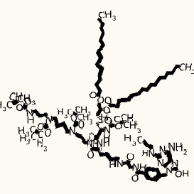 CCCCCCCCCCCCCCCC(=O)OCC(CSC[C@H](NC(=O)OC(C)(C)C)C(=O)N[C@@H](CCCCNC(=O)CNC(=O)c1ccc(Cn2c(O)nc3c(N)nc(NCCCC)nc32)cc1)C(=O)NCCCN(CCCCN(CCCNC(=O)OC(C)(C)C)C(=O)OC(C)(C)C)C(=O)OC(C)(C)C)OC(=O)CCCCCCCCCCCCCCC